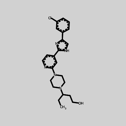 CCC(CCO)N1CCN(c2cc(-c3nc(-c4cccc(Cl)c4)c[nH]3)ccn2)CC1